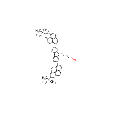 CC(C)(C)c1cc2ccc3ccc(-c4ccc5c(c4)C(CCCCCO)c4cc(-c6ccc7ccc8cc(C(C)(C)C)cc9ccc6c7c89)ccc4-5)c4ccc(c1)c2c34